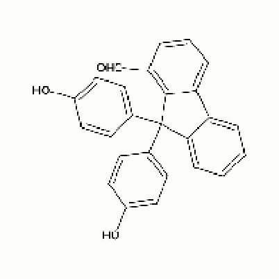 O=Cc1cccc2c1C(c1ccc(O)cc1)(c1ccc(O)cc1)c1ccccc1-2